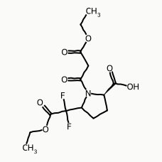 CCOC(=O)CC(=O)N1C(C(F)(F)C(=O)OCC)CC[C@@H]1C(=O)O